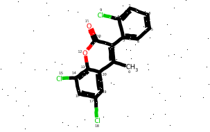 Cc1c(-c2ccccc2Cl)c(=O)oc2c(Cl)cc(Cl)cc12